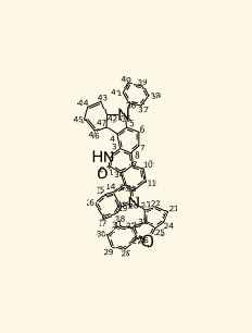 O=c1[nH]c2c3c(ccc2c2ccc4c(c5ccccc5n4-c4cccc5oc6ccccc6c45)c12)N(c1ccccc1)C1C=CC=CC31